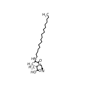 CCCCCCCCCCCCCCCCCCN[C@H](C)C(=O)N(CC#N)[C@@H](C)C(=O)O